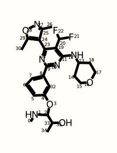 CNC(Oc1cccc(-c2nc(NC3CCOCC3)c(C(F)F)c(-c3c(C)noc3C)n2)c1)C(C)O